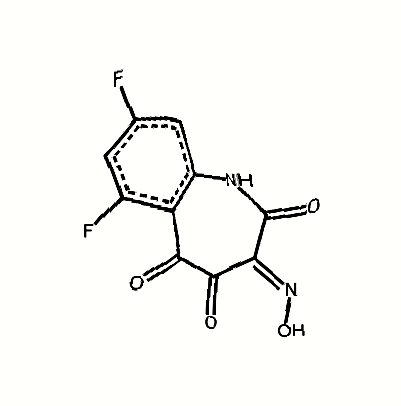 O=C1Nc2cc(F)cc(F)c2C(=O)C(=O)C1=NO